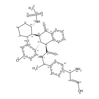 CC(NC(=O)[C@@H]1c2ccccc2C(=O)N([C@H]2CCCC[C@@H]2NS(C)(=O)=O)[C@H]1c1ccc(Cl)cc1Cl)c1ccc(C(N)C=NO)cc1